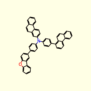 c1ccc2c(c1)ccc1cc(N(c3ccc(-c4ccc5oc6ccccc6c5c4)cc3)c3ccc(-c4cccc5c4ccc4ccccc45)cc3)ccc12